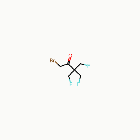 O=C(CBr)C(CF)(CF)CF